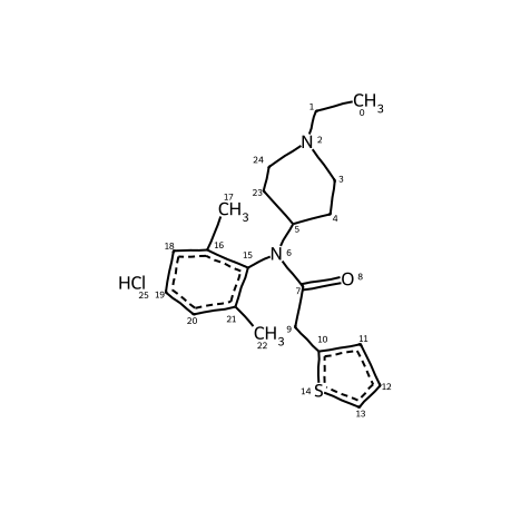 CCN1CCC(N(C(=O)Cc2cccs2)c2c(C)cccc2C)CC1.Cl